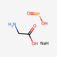 NCC(=O)O.O=PO.[NaH]